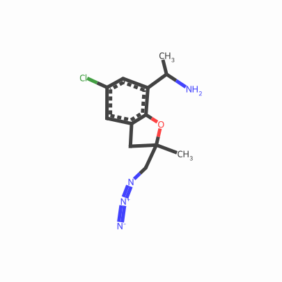 CC(N)c1cc(Cl)cc2c1OC(C)(CN=[N+]=[N-])C2